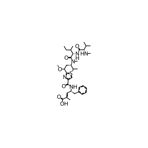 CCC(C)[C@H](NC(=O)[C@@H](NC)C(C)C)C(=O)N(C)[C@H](CC(OC)c1nc(C(=O)N[C@H](/C=C(\C)C(=O)O)Cc2ccccc2)cs1)C(C)C